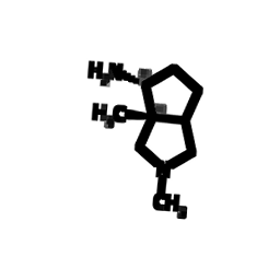 CN1CC2CC[C@@H](N)[C@@]2(C)C1